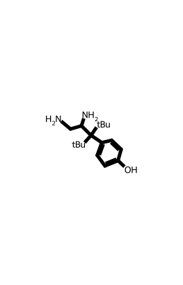 CC(C)(C)C(c1ccc(O)cc1)(C(N)CN)C(C)(C)C